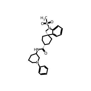 CS(=O)(=O)N1C[C@]2(CC[C@@H](C(=O)NC3CCCN(c4ccccc4)C3)CC2)c2ccccc21